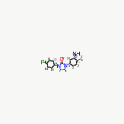 Cc1ccc(N2CCN(c3ccc(F)cc3)C2=O)cc1N